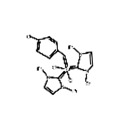 CC(C)n1ccn(C(C)C)[c]1=[Ru]([Cl])([Cl])(=[CH]c1ccc(Cl)cc1)=[c]1n(C(C)C)ccn1C(C)C